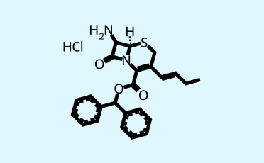 CC/C=C/C1=C(C(=O)OC(c2ccccc2)c2ccccc2)N2C(=O)C(N)[C@H]2SC1.Cl